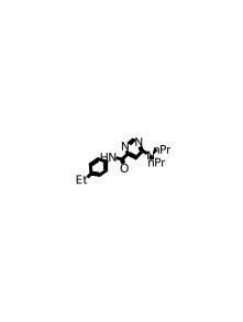 CCCN(CCC)c1cc(C(=O)Nc2ccc(CC)cc2)ncn1